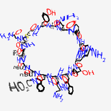 CCCC[C@H]1C(=O)N(C)[C@@H](CCCC)C(=O)N[C@@H](CC(C)C)C(=O)N[C@H](C(=O)NCC(N)=O)CSCC(=O)N[C@@H](Cc2ccc(O)cc2)C(=O)N(C)[C@@H](C)C(=O)N[C@@H](CC(N)=O)C(=O)N2CCC[C@H]2C(=O)N[C@@H](Cc2cnc[nH]2)C(=O)N[C@@H](CCCCN)C(=O)N2CC(O)C[C@H]2C(=O)N[C@@H](Cc2c[nH]c3ccccc23)C(=O)N[C@@H](CCCCN)C(=O)N[C@@H](Cc2cn(CC(=O)O)c3ccccc23)C(=O)N1C